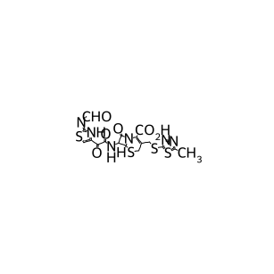 Cc1nnc(SCC2=C(C(=O)O)N3C(=O)C(NC(=O)C(=O)c4csc(=NC=O)[nH]4)[C@@H]3SC2)s1